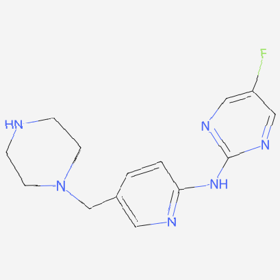 Fc1cnc(Nc2ccc(CN3CCNCC3)cn2)nc1